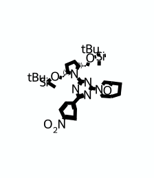 CC(C)(C)[Si](C)(C)OC[C@H]1CC[C@@H](CO[Si](C)(C)C(C)(C)C)N1c1nc(-c2ccc([N+](=O)[O-])cc2)nc(N2CC3CCC(C2)O3)n1